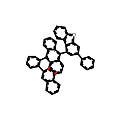 c1ccc(-c2cc(-c3c4ccccc4c(-c4ccccc4-c4ccc5ccccc5c4)c4ccccc34)c3c(c2)oc2ccccc23)cc1